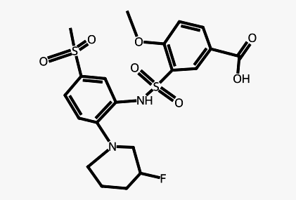 COc1ccc(C(=O)O)cc1S(=O)(=O)Nc1cc(S(C)(=O)=O)ccc1N1CCCC(F)C1